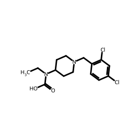 CCN(C(=O)O)C1CCN(Cc2ccc(Cl)cc2Cl)CC1